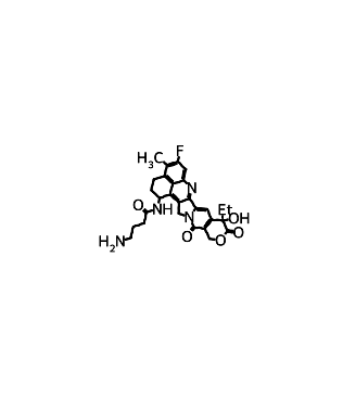 CC[C@@]1(O)C(=O)OCc2c1cc1n(c2=O)Cc2c-1nc1cc(F)c(C)c3c1c2C(NC(=O)CCCN)CC3